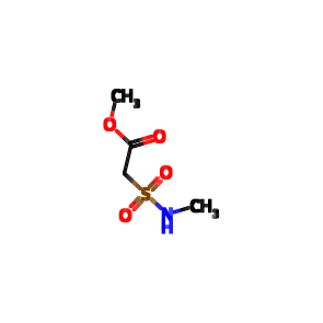 CNS(=O)(=O)CC(=O)OC